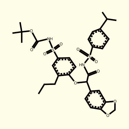 CCCc1cc(S(=O)(=O)NC(=O)OC(C)(C)C)ccc1OC(C(=O)NS(=O)(=O)c1ccc(C(C)C)cc1)c1ccc2c(c1)OCO2